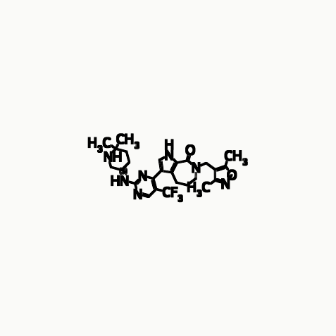 Cc1noc(C)c1CN1CCCc2c(-c3nc(N[C@H]4CCC(C)(C)NC4)ncc3C(F)(F)F)c[nH]c2C1=O